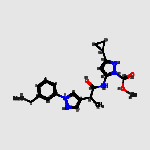 COCc1cccc(-n2cc(C(C)C(=O)Nc3cc(C4CC4)nn3C(=O)OC(C)(C)C)cn2)c1